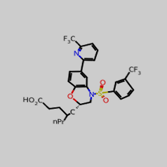 CCCC(CCC(=O)O)C[C@H]1CN(S(=O)(=O)c2cccc(C(F)(F)F)c2)c2cc(-c3cccc(C(F)(F)F)n3)ccc2O1